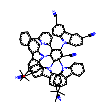 CC(C)(C)c1ccc2c(c1)c1ccccc1n2-c1c(C#N)c(-n2c3ccc(C#N)cc3c3cc(C#N)ccc32)c(-c2cccc(-c3ccccc3)n2)c(-n2c3ccccc3c3cc(C(C)(C)C)ccc32)c1-n1c2ccc(C#N)cc2c2cc(C#N)ccc21